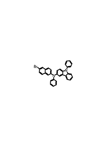 Brc1ccc2cc(N(c3ccccc3)c3ccc4c(c3)c3ccccc3n4-c3ccccc3)ccc2c1